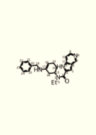 CCN(C(=O)c1cc2cnccc2[nH]1)C1CCC=C(NCc2ccccc2)C1